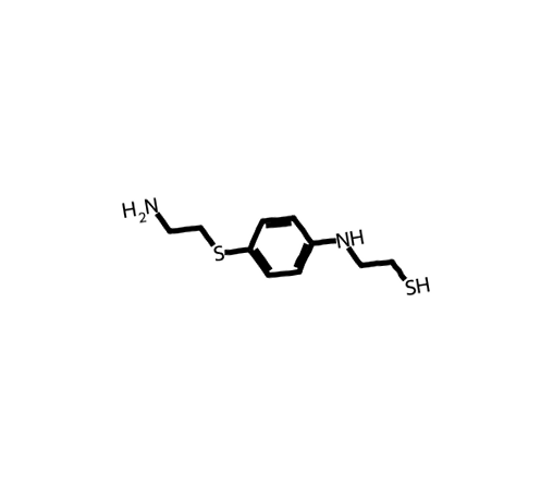 NCCSc1ccc(NCCS)cc1